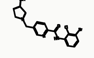 O=C(Nc1cccc(Br)c1Cl)c1ccc(CN2CCC(O)C2)cn1